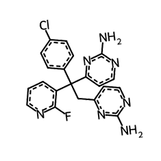 Nc1nccc(CC(c2ccc(Cl)cc2)(c2ccnc(N)n2)c2cccnc2F)n1